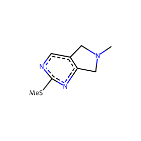 CSc1ncc2c(n1)CN(C)C2